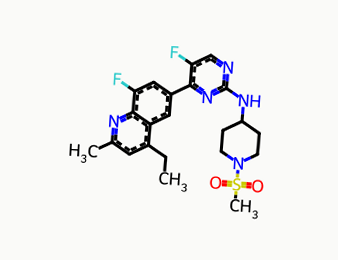 CCc1cc(C)nc2c(F)cc(-c3nc(NC4CCN(S(C)(=O)=O)CC4)ncc3F)cc12